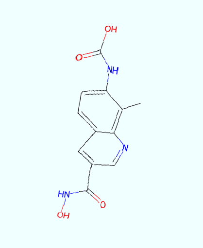 Cc1c(NC(=O)O)ccc2cc(C(=O)NO)cnc12